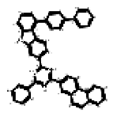 c1ccc(-c2ccc(-c3cccc4oc5cc(-c6nc(-c7ccccc7)nc(-c7ccc8c(ccc9ccccc98)c7)n6)ccc5c34)cc2)cc1